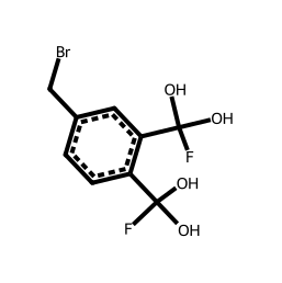 OC(O)(F)c1ccc(CBr)cc1C(O)(O)F